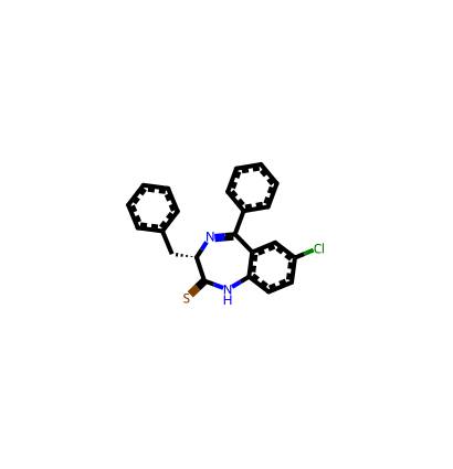 S=C1Nc2ccc(Cl)cc2C(c2ccccc2)=N[C@H]1Cc1ccccc1